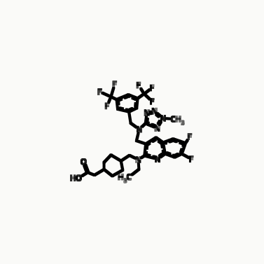 CCN(CC1CCC(CC(=O)O)CC1)c1nc2cc(F)c(F)cc2cc1CN(Cc1cc(C(F)(F)F)cc(C(F)(F)F)c1)c1nnn(C)n1